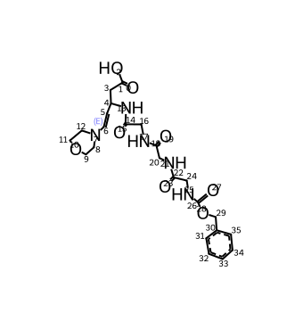 O=C(O)CC(/C=C/N1CCOCC1)NC(=O)CNC(=O)CNC(=O)CNC(=O)OCc1ccccc1